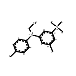 Cc1ccc([SiH](CCl)c2cc(C)cc([Si](C)(C)C)c2)cc1